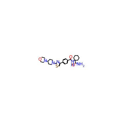 NC(=O)C1(NC(=O)c2ccc(-c3csc(N4CCC(N5CCOCC5)CC4)n3)cc2)CCCCC1